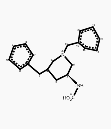 O=C(O)N[C@H]1CC(Cc2ccccc2)CN(Cc2ccccc2)C1